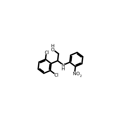 O=[N+]([O-])c1ccccc1NC(CO)c1c(Cl)cccc1Cl